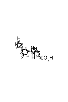 Cc1cc(-c2cn[nH]c2)cc(-c2nnc(SCC(=O)O)[nH]2)c1